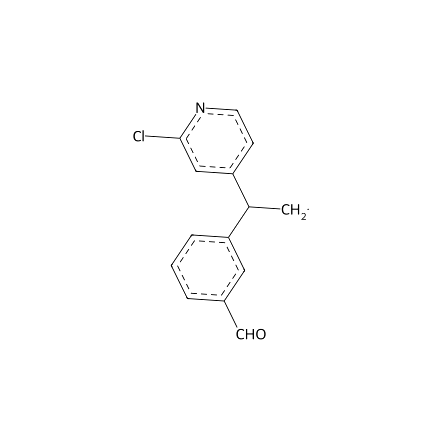 [CH2]C(c1cccc(C=O)c1)c1ccnc(Cl)c1